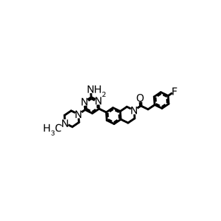 CN1CCN(c2cc(-c3ccc4c(c3)CN(C(=O)Cc3ccc(F)cc3)CC4)nc(N)n2)CC1